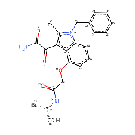 CCc1c(C(=O)C(N)=O)c2c(OCC(=O)N[C@H](C(=O)O)[C@@H](C)CC)cccc2n1Cc1ccccc1